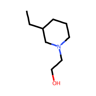 CCC1CCCN(CCO)C1